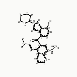 CN(C)/C=N/c1c(C(=O)c2ccc(F)c3nn(C4CCCCO4)cc23)cc(OC(F)(F)F)c2ncccc12